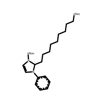 CCCCCCCCCCCCCCCCCCCC1N(CCCCCCCCC)C=CN1c1ccccc1